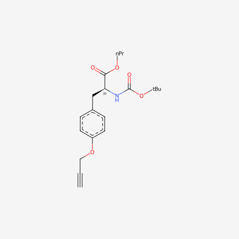 C#CCOc1ccc(C[C@H](NC(=O)OC(C)(C)C)C(=O)OCCC)cc1